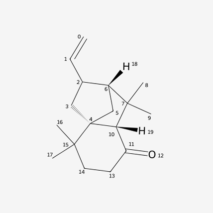 C=CC1C[C@]23C[C@H]1C(C)(C)[C@@H]2C(=O)CCC3(C)C